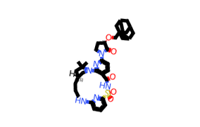 CC1(C)C[C@@H]2CCCNc3cccc(n3)S(=O)(=O)NC(=O)c3ccc(N4CC[C@H](OCC56CC7CC(CC(C7)C5)C6)C4=O)nc3N1C2